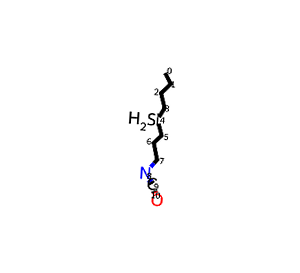 CCCC[SiH2]CCCN=C=O